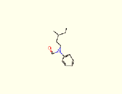 CCC(C)CCN(C=O)c1ccccc1